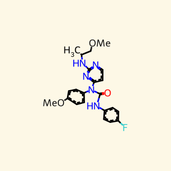 COC[C@H](C)Nc1nccc(N(C(=O)Nc2ccc(F)cc2)c2ccc(OC)cc2)n1